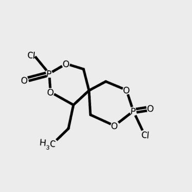 CCC1OP(=O)(Cl)OCC12COP(=O)(Cl)OC2